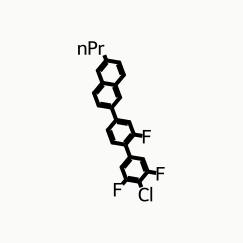 CCCc1ccc2cc(-c3ccc(-c4cc(F)c(Cl)c(F)c4)c(F)c3)ccc2c1